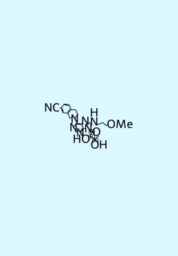 COCCCNc1nc2c(N3CCc4ccc(C#N)cc4C3)ncnc2n1[C@@H]1OC[C@@H](O)[C@H]1O